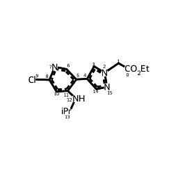 CCOC(=O)Cn1cc(-c2cnc(Cl)cc2NC(C)C)cn1